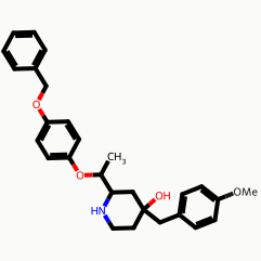 COc1ccc(CC2(O)CCNC(C(C)Oc3ccc(OCc4ccccc4)cc3)C2)cc1